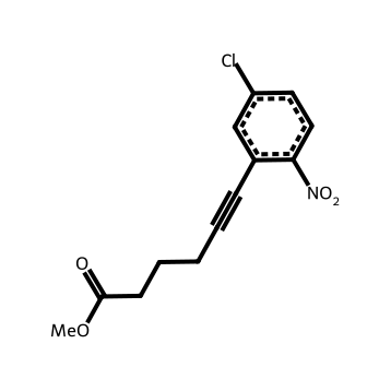 COC(=O)CCCC#Cc1cc(Cl)ccc1[N+](=O)[O-]